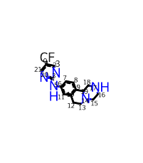 FC(F)(F)c1cnc(Nc2ccc3c(c2)CCN2CCNCC32)nc1